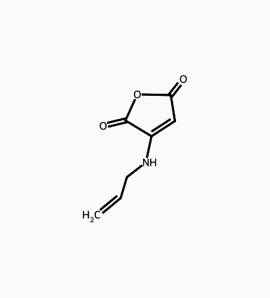 C=CCNC1=CC(=O)OC1=O